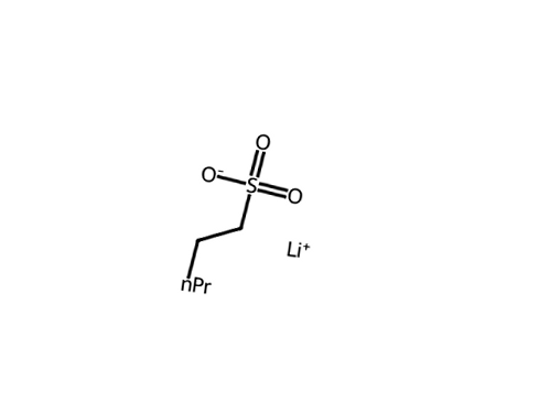 CCCCCS(=O)(=O)[O-].[Li+]